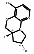 CC(C)c1ccnc2c1OC[C@H]1C[C@@H](O)CN21